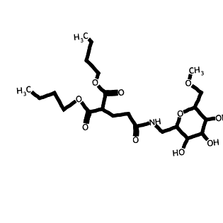 CCCCOC(=O)C(CCC(=O)NCC1OC(COC)C(O)C(O)C1O)C(=O)OCCCC